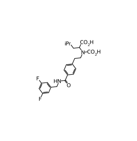 CC(C)CC(C(=O)O)N(CCc1ccc(C(=O)NCc2cc(F)cc(F)c2)cc1)C(=O)O